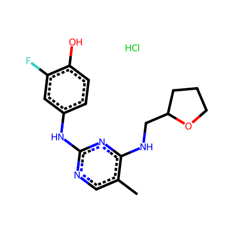 Cc1cnc(Nc2ccc(O)c(F)c2)nc1NCC1CCCO1.Cl